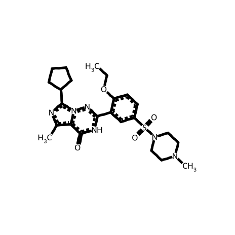 CCOc1ccc(S(=O)(=O)N2CCN(C)CC2)cc1-c1nn2c(C3CCCC3)nc(C)c2c(=O)[nH]1